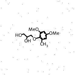 COc1cc(C)c(OCC(O)CO)c(OC)c1